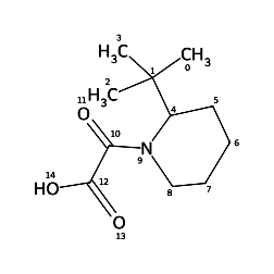 CC(C)(C)C1CCCCN1C(=O)C(=O)O